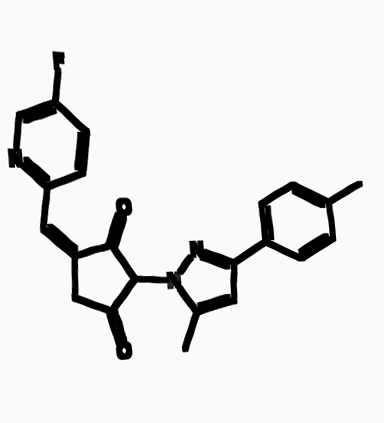 Cc1ccc(-c2cc(C)n(C3C(=O)C/C(=C/c4ccc(F)cn4)C3=O)n2)cc1